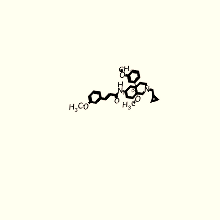 COc1cccc(C=CC(=O)N[C@@H]2CC[C@]3(OC)CN(CC4CC4)CC[C@@]3(c3cccc(OC)c3)C2)c1